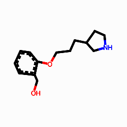 OCc1ccccc1OCCCC1CCNC1